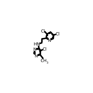 CCc1ncnc(NCCc2ncc(Cl)cc2Cl)c1Cl